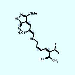 C=C(C)/C(=C\C=C/CN/C=C(F)/C=C1/C(NC)=NN/C1=N/C)C(F)F